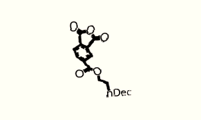 CCCCCCCCCCCCOC(=O)c1ccc2c(c1)C(=O)OC2=O